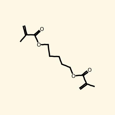 C=C(C)C(=O)OCCCCCOC(=O)C(=C)C